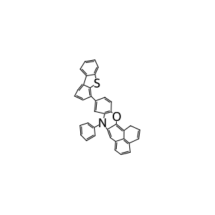 C1=Cc2cccc3cc4c(c(c23)C1)Oc1ccc(-c2cccc3c2sc2ccccc23)cc1N4c1ccccc1